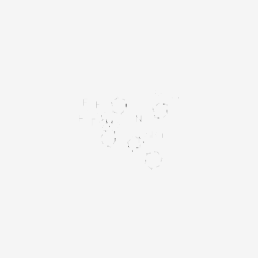 CCCCn1c(-c2ccccc2)nc(-c2cccc(SC)c2)c1CN(Cc1cccc(OC(F)(F)C(F)F)c1)Cc1ccc2c(c1)OCO2